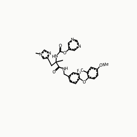 COc1ccc(Oc2ccc(CNC(=O)C(C)(Cc3cn(C)cn3)NC(=O)Oc3cncnc3)cc2)c(C(F)(F)F)c1